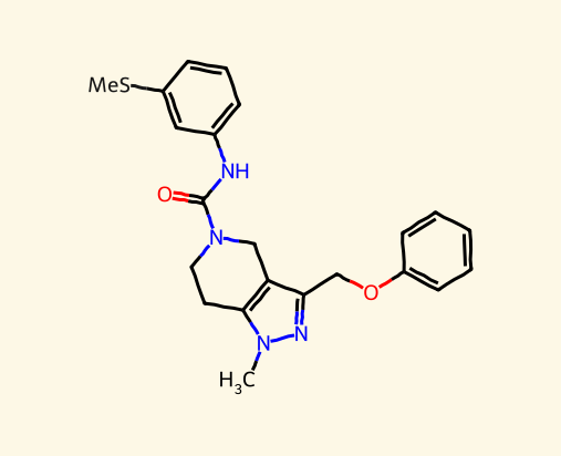 CSc1cccc(NC(=O)N2CCc3c(c(COc4ccccc4)nn3C)C2)c1